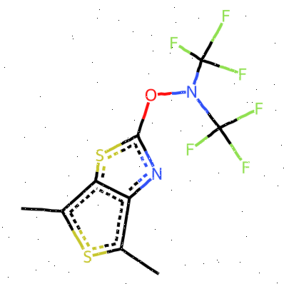 Cc1sc(C)c2sc(ON(C(F)(F)F)C(F)(F)F)nc12